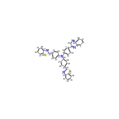 c1ccc2nc(-c3ccc(N(c4ccc(-c5nc6ccccc6s5)cc4)c4ccc(-c5nc6ccccc6s5)cc4)cc3)cnc2c1